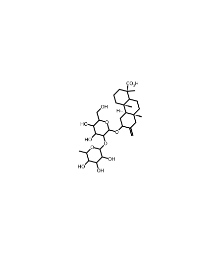 C=C1C[C@@]2(C)CCC3[C@](C)(C(=O)O)CCC[C@@]3(C)[C@@H]2CC1OC1OC(CO)C(O)C(O)C1OC1OC(C)C(O)C(O)C1O